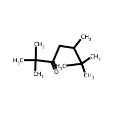 CC(CC(=O)C(C)(C)C)C(C)(C)C